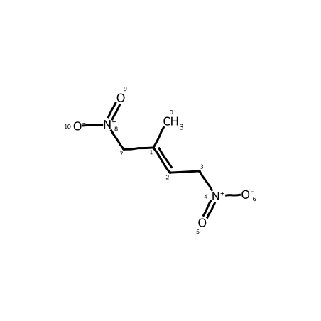 C/C(=C\C[N+](=O)[O-])C[N+](=O)[O-]